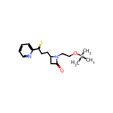 C[Si](C)(C)OCCN1C(=O)CC1CCC(=S)c1ccccn1